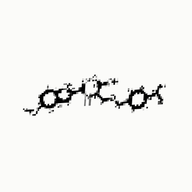 COc1ccc2oc(C(=O)NC(COCc3ccc(C(C)C)cc3)C(=O)O)cc2c1